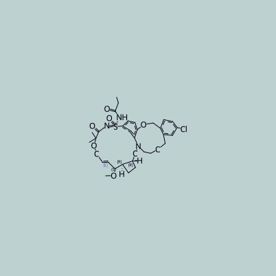 CCC(=O)N[S@@]1(=O)=NC(=O)C(C)(C)OC/C=C/[C@@H](OC)[C@@H]2CC[C@H]2CN2CCCCc3cc(Cl)ccc3COc3ccc1cc32